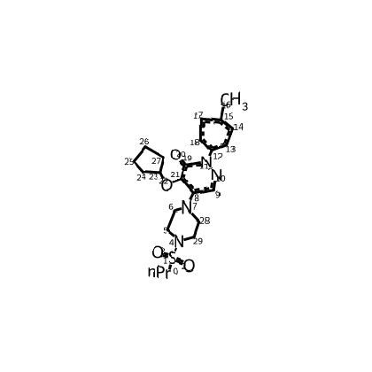 CCCS(=O)(=O)N1CCN(c2cnn(-c3ccc(C)cc3)c(=O)c2OC2CCCC2)CC1